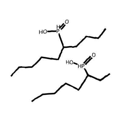 CCCCCC(CC)[PH](=O)O.CCCCCC(CCCC)[PH](=O)O